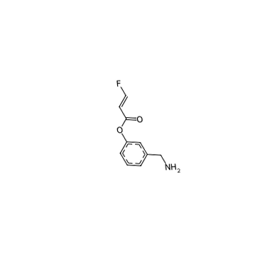 NCc1cccc(OC(=O)C=CF)c1